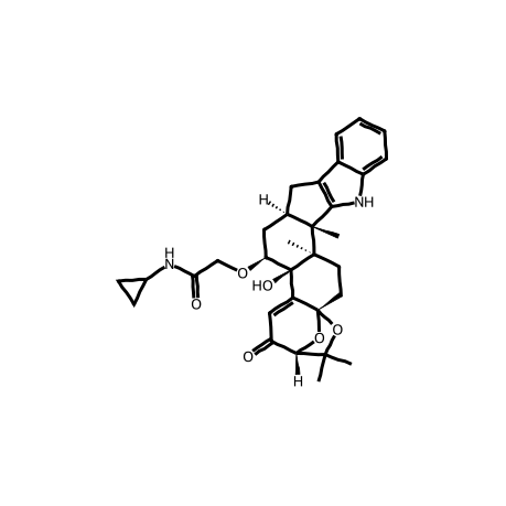 CC1(C)O[C@@]23CC[C@]4(C)[C@@]5(C)c6[nH]c7ccccc7c6C[C@@H]5C[C@H](OCC(=O)NC5CC5)[C@@]4(O)C2=CC(=O)[C@@H]1O3